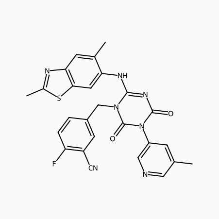 Cc1cncc(-n2c(=O)nc(Nc3cc4sc(C)nc4cc3C)n(Cc3ccc(F)c(C#N)c3)c2=O)c1